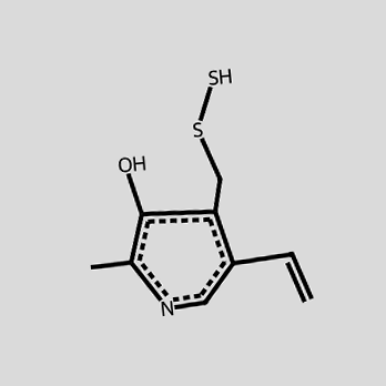 C=Cc1cnc(C)c(O)c1CSS